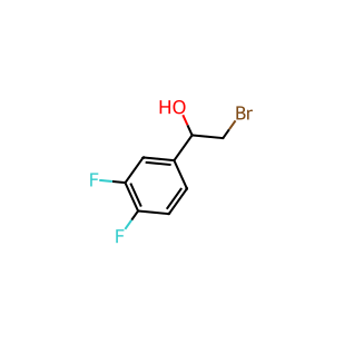 OC(CBr)c1ccc(F)c(F)c1